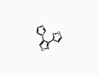 [c]1conc1-c1nocc1-n1ccnc1